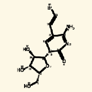 Nc1nc(=O)n([C@@H]2O[C@H](CO)[C@H](O)[C@H]2O)cc1/C=C/Br